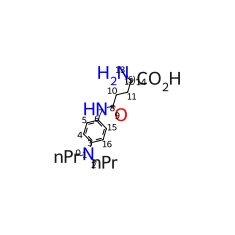 CCCN(CCC)c1ccc(NC(=O)CC[C@H](N)C(=O)O)cc1